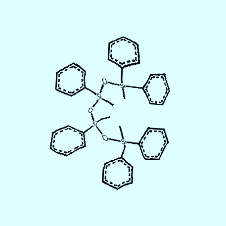 C[Si](O[Si](C)(O[Si](C)(c1ccccc1)c1ccccc1)c1ccccc1)(O[Si](C)(c1ccccc1)c1ccccc1)c1ccccc1